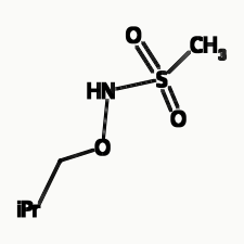 CC(C)CONS(C)(=O)=O